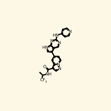 CC(NC(=O)c1cnn2ccc(-c3c[nH]c4nc(Nc5ccncc5)ncc34)cc12)C(F)(F)F